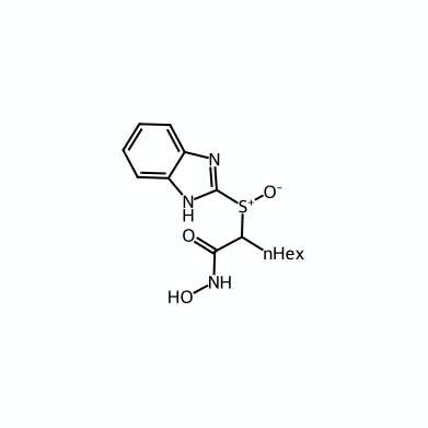 CCCCCCC(C(=O)NO)[S+]([O-])c1nc2ccccc2[nH]1